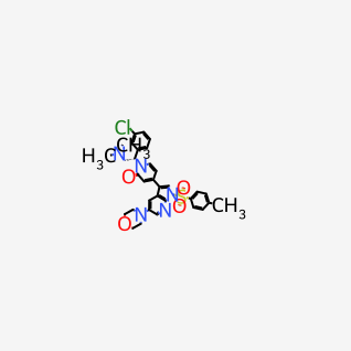 Cc1ccc(S(=O)(=O)n2cc(-c3ccn([C@H](CN(C)C)c4cccc(Cl)c4)c(=O)c3)c3cc(N4CCOCC4)cnc32)cc1